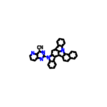 N#Cc1nc(-n2c3ccccc3c3c4c5ccc6ccccc6c5n5c6ccccc6c(cc32)c45)nc2cccnc12